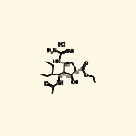 CCOC(=O)[C@H]1C[C@@H](NC(=N)N)[C@H]([C@@H](NC(C)=O)C(CC)CC)[C@@H]1O.Cl